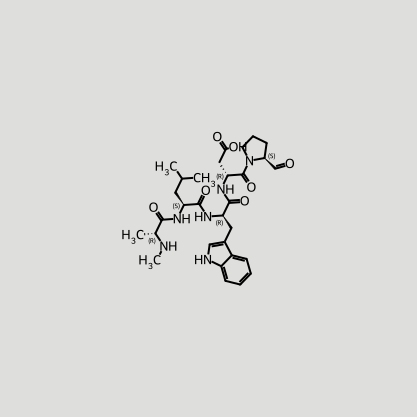 CN[C@H](C)C(=O)N[C@@H](CC(C)C)C(=O)N[C@H](Cc1c[nH]c2ccccc12)C(=O)N[C@H](CC(=O)O)C(=O)N1CCC[C@H]1C=O